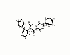 Cc1nc2c([nH]1)-c1ccccc1N(C(=O)C1CCN(c3ccccn3)CC1)CC2